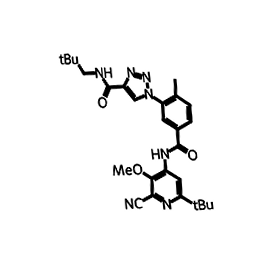 COc1c(NC(=O)c2ccc(C)c(-n3cc(C(=O)NCC(C)(C)C)nn3)c2)cc(C(C)(C)C)nc1C#N